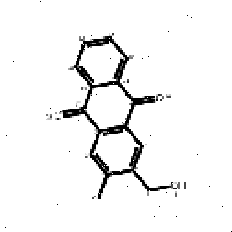 Cc1cc2c(cc1CO)C(=O)c1ccccc1C2=O